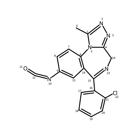 Cc1nnc2n1-c1ccc(N=C=O)cc1C(c1ccccc1Cl)=NC2